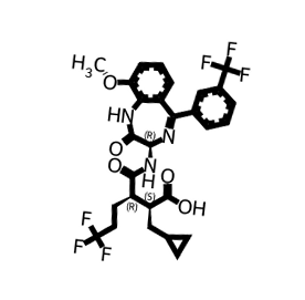 COc1cccc2c1NC(=O)[C@H](NC(=O)[C@H](CCC(F)(F)F)[C@H](CC1CC1)C(=O)O)N=C2c1cccc(C(F)(F)F)c1